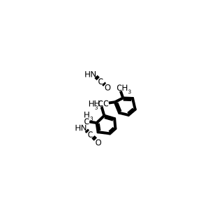 Cc1ccccc1C.Cc1ccccc1C.N=C=O.N=C=O